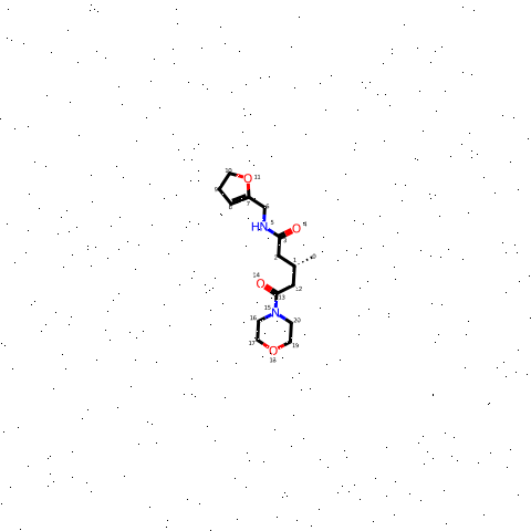 C[C@@H](CC(=O)NCC1=CCCO1)CC(=O)N1CCOCC1